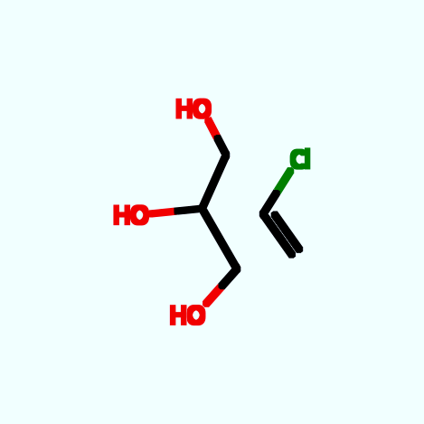 C=CCl.OCC(O)CO